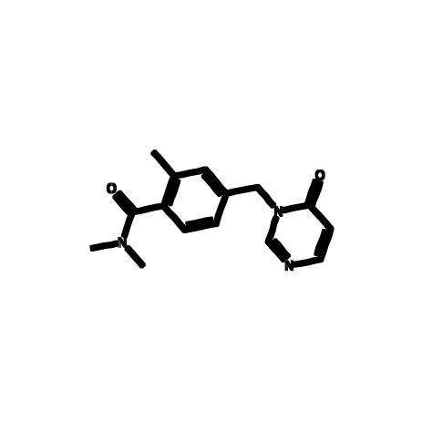 Cc1cc(Cn2cnccc2=O)ccc1C(=O)N(C)C